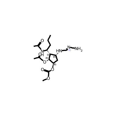 CCCC(NC(C)=O)[C@H]1[C@@H](OC(C)=O)[C@H](OC(=O)OC)C[C@H]1N/C=N/N